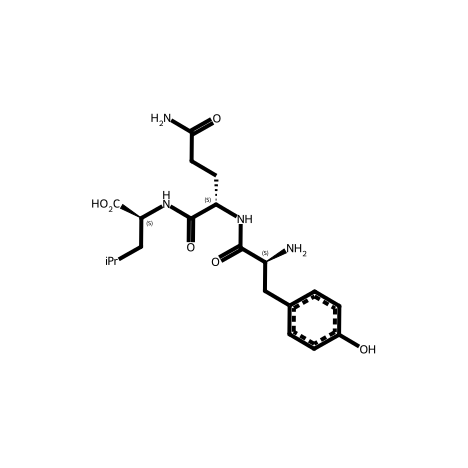 CC(C)C[C@H](NC(=O)[C@H](CCC(N)=O)NC(=O)[C@@H](N)Cc1ccc(O)cc1)C(=O)O